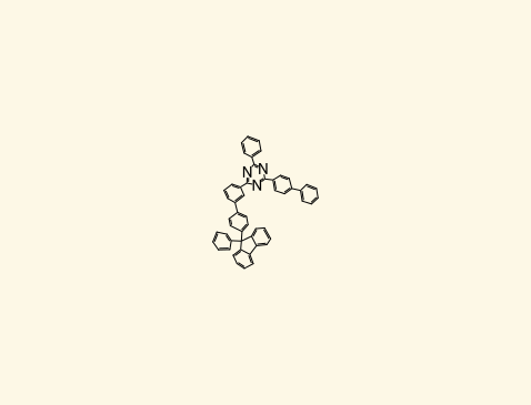 c1ccc(-c2ccc(-c3nc(-c4ccccc4)nc(-c4cccc(-c5ccc(C6(c7ccccc7)c7ccccc7-c7ccccc76)cc5)c4)n3)cc2)cc1